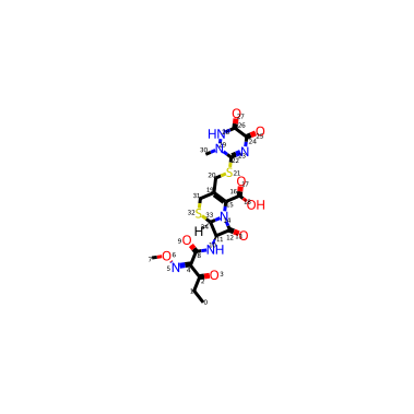 CCC(=O)/C(=N/OC)C(=O)N[C@@H]1C(=O)N2C(C(=O)O)=C(CSc3nc(=O)c(=O)[nH]n3C)CS[C@H]12